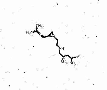 CCCC(N)C[C@H](C)CNCCN1CC1C=C=C(C)C